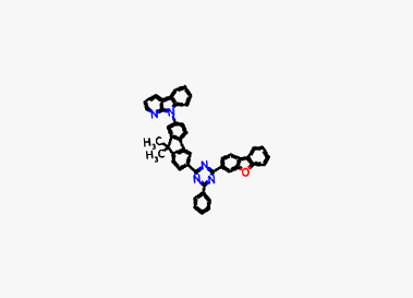 CC1(C)c2ccc(-c3nc(-c4ccccc4)nc(-c4ccc5c(c4)oc4ccccc45)n3)cc2-c2ccc(-n3c4ccccc4c4cccnc43)cc21